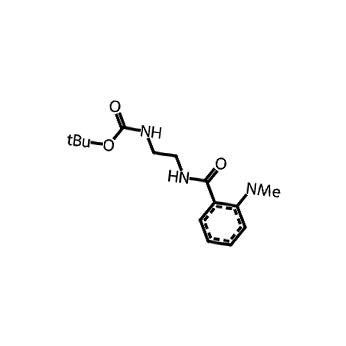 CNc1ccccc1C(=O)NCCNC(=O)OC(C)(C)C